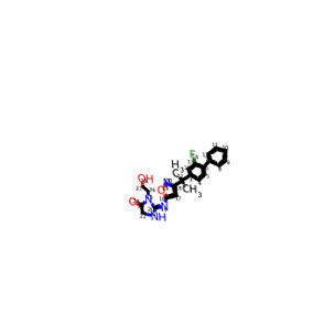 CC(C)(c1ccc(-c2ccccc2)c(F)c1)c1cc(N=C2NCC(=O)N2CCO)on1